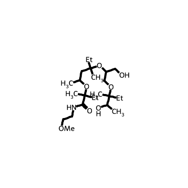 CCC(C)(CC(C)OC(C)(CC)C(=O)NCCOC)OC(CO)COC(C)(CC)C(C)O